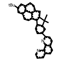 CC(C)(C)c1cc2ccc3cc4c(c5ccc(c1)c2c35)-c1ccc(-c2ccc3ccc5cccnc5c3n2)cc1C4(C)C